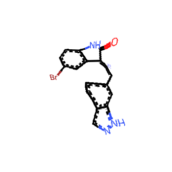 O=C1Nc2ccc(Br)cc2/C1=C\c1ccc2cn[nH]c2c1